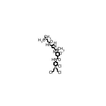 Cn1c(-c2cc(NC(=O)CC[S+](C)C)c[nH]2)nc2cc(C(=O)Nc3ccc(N(CCCl)CCCl)c(Cl)c3)ccc21.[Cl-]